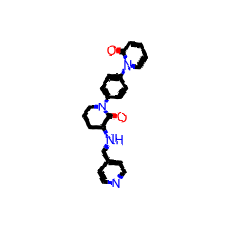 O=C1C(NCc2ccncc2)CCCN1c1ccc(-n2ccccc2=O)cc1